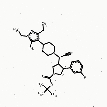 CCc1nn(CC)c(C)c1C1CCN([C@@H](C#N)C2CN(C(=O)OC(C)(C)C)CC2c2cccc(F)c2)CC1